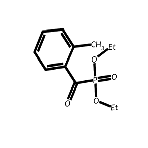 CCOP(=O)(OCC)C(=O)c1ccccc1C